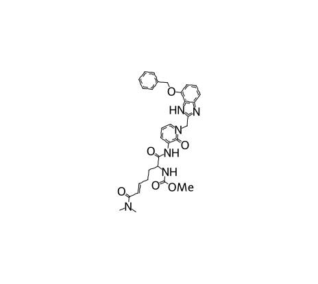 COC(=O)NC(CCC=CC(=O)N(C)C)C(=O)Nc1cccn(Cc2nc3cccc(OCc4ccccc4)c3[nH]2)c1=O